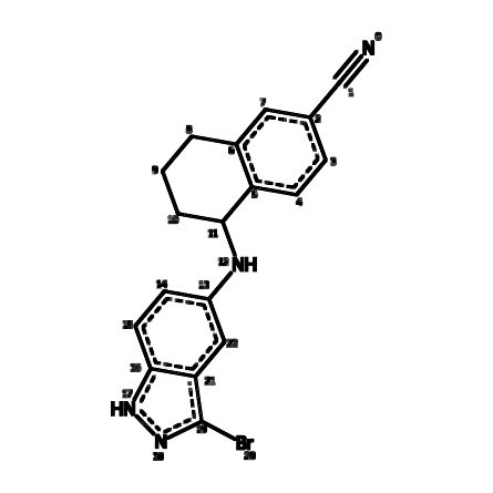 N#Cc1ccc2c(c1)CCCC2Nc1ccc2[nH]nc(Br)c2c1